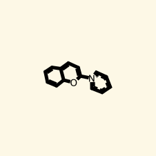 C1=CC2=CC=C([n+]3ccccc3)OC2C=C1